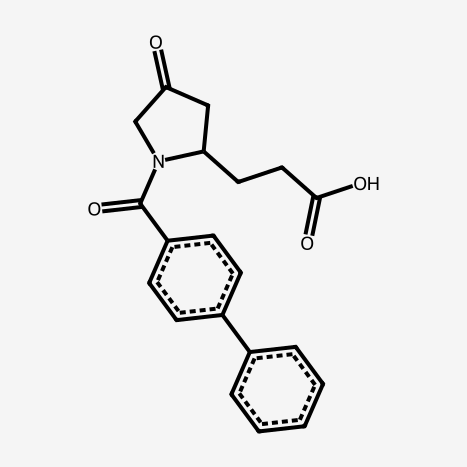 O=C(O)CCC1CC(=O)CN1C(=O)c1ccc(-c2ccccc2)cc1